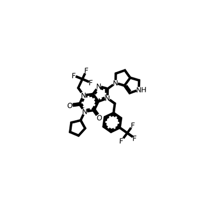 O=c1c2c(nc(N3CCC4CNC=C43)n2Cc2cccc(C(F)(F)F)c2)n(CC(F)(F)F)c(=O)n1C1CCCC1